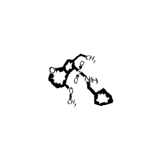 CCc1cc2occc(OC)c-2c1S(=O)(=O)NCc1ccccc1